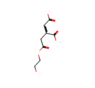 O=C(O)C=C(CC(=O)OCCO)C(=O)O